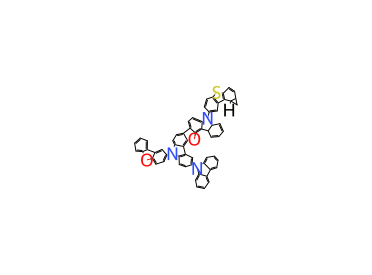 C1=CC2c3c(ccc4c3oc3c4ccc4c3c3cc(-n5c6ccccc6c6ccccc65)ccc3n4-c3ccc4oc5ccccc5c4c3)N(c3ccc4sc5c(c4c3)[C@H]3CC3C=C5)C2C=C1